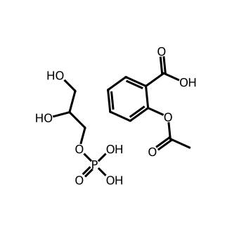 CC(=O)Oc1ccccc1C(=O)O.O=P(O)(O)OCC(O)CO